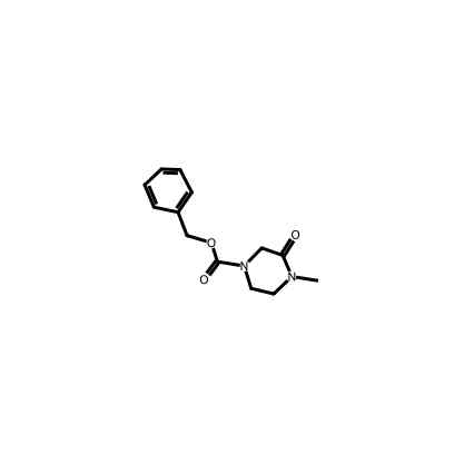 CN1CCN(C(=O)OCc2ccccc2)CC1=O